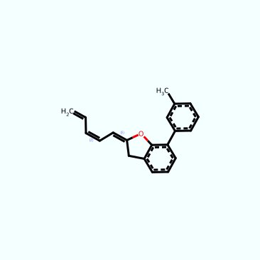 C=C/C=C\C=C1/Cc2cccc(-c3cccc(C)c3)c2O1